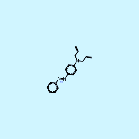 C=CCN(CC=C)c1ccc(/N=N/c2ccccc2)cc1